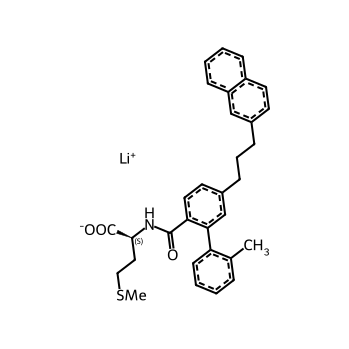 CSCC[C@H](NC(=O)c1ccc(CCCc2ccc3ccccc3c2)cc1-c1ccccc1C)C(=O)[O-].[Li+]